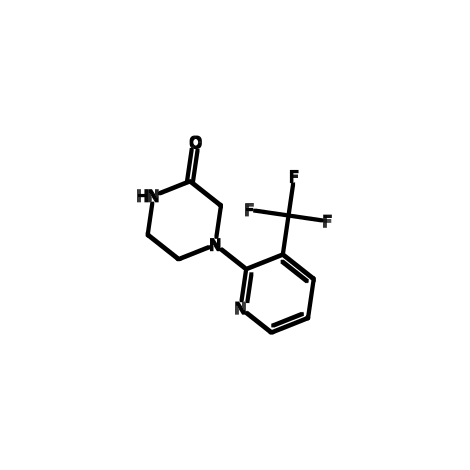 O=C1CN(c2ncccc2C(F)(F)F)CCN1